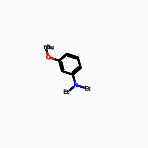 CCCCOc1cccc(N(CC)CC)c1